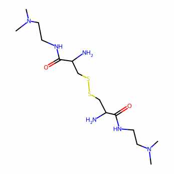 CN(C)CCNC(=O)C(N)CSSCC(N)C(=O)NCCN(C)C